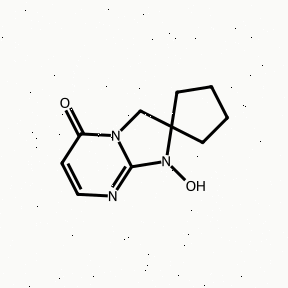 O=c1ccnc2n1CC1(CCCC1)N2O